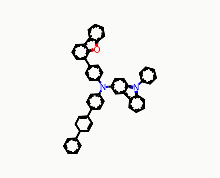 C1=CC(c2ccccc2)CC=C1c1ccc(N(c2ccc(-c3cccc4c3oc3ccccc34)cc2)c2ccc3c(c2)c2ccccc2n3-c2ccccc2)cc1